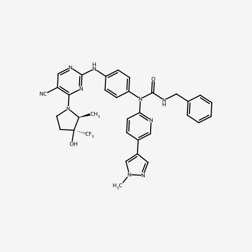 C[C@@H]1N(c2nc(Nc3ccc(N(C(=O)NCc4ccccc4)c4ccc(-c5cnn(C)c5)cn4)cc3)ncc2C#N)CC[C@@]1(O)C(F)(F)F